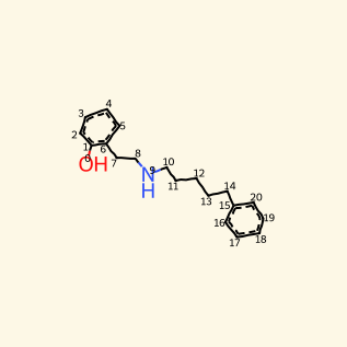 Oc1ccccc1CCNCCCCCc1ccccc1